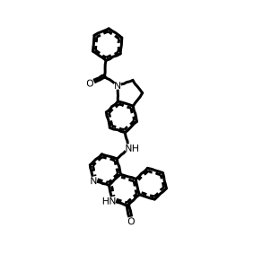 O=C(c1ccccc1)N1CCc2cc(Nc3ccnc4[nH]c(=O)c5ccccc5c34)ccc21